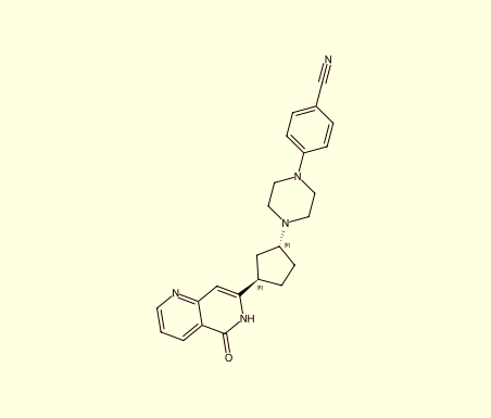 N#Cc1ccc(N2CCN([C@@H]3CC[C@@H](c4cc5ncccc5c(=O)[nH]4)C3)CC2)cc1